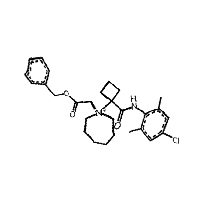 Cc1cc(Cl)cc(C)c1NC(=O)C1([N+]2(CC(=O)OCc3ccccc3)CCCCCC2)CCC1